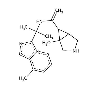 C=C(NC(C)(C)c1ncc2c(C)cccn12)C1C2CNCC21C